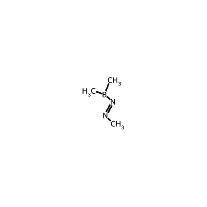 CN=NB(C)C